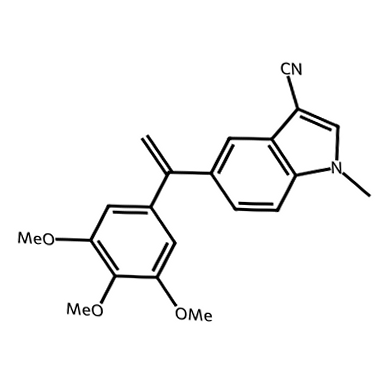 C=C(c1cc(OC)c(OC)c(OC)c1)c1ccc2c(c1)c(C#N)cn2C